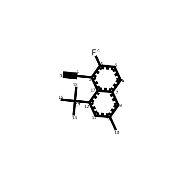 C#Cc1c(F)ccc2cc(C)cc(C(C)(C)C)c12